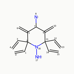 C=CC1(C=C)C(=C)C([N])C(=C)C(C=C)(C=C)N1[NH]